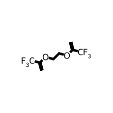 C=C(OCCOC(=C)C(F)(F)F)C(F)(F)F